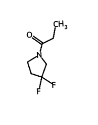 CCC(=O)N1CCC(F)(F)C1